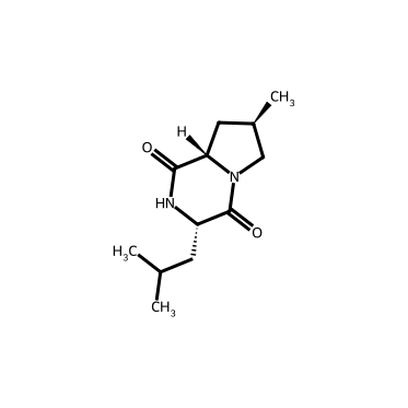 CC(C)C[C@@H]1NC(=O)[C@@H]2C[C@@H](C)CN2C1=O